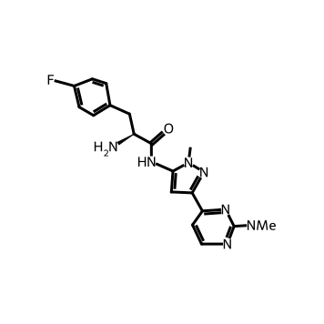 CNc1nccc(-c2cc(NC(=O)[C@@H](N)Cc3ccc(F)cc3)n(C)n2)n1